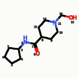 O=C(NC1CCCC1)C1CCN(CO)CC1